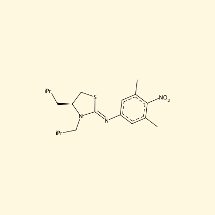 Cc1cc(/N=C2\SC[C@H](CC(C)C)N2CC(C)C)cc(C)c1[N+](=O)[O-]